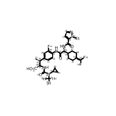 [2H]C([2H])([2H])N(C(=O)N[C@@H](C(=O)O)[C@@H](C)c1ccc(NC(=O)[C@@H](NC(=O)c2ccnn2CC)C2CCC(=C(F)F)CC2)c(F)c1)C1CC1